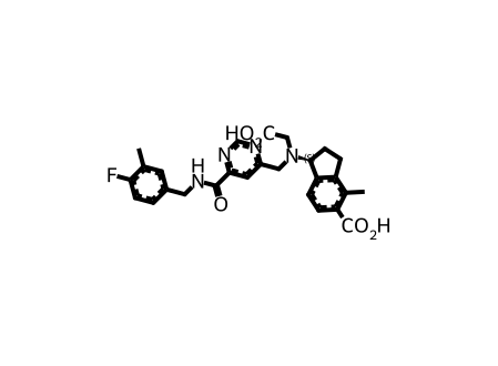 Cc1cc(CNC(=O)c2cc(CN(CC(=O)O)[C@H]3CCc4c3ccc(C(=O)O)c4C)ncn2)ccc1F